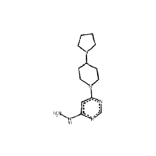 NNc1cc(N2CCC(N3CCCC3)CC2)ncn1